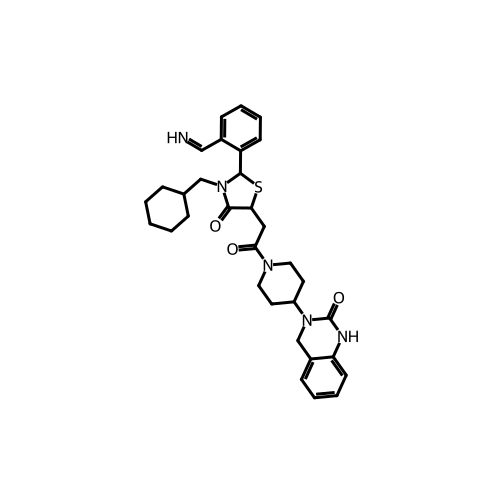 N=Cc1ccccc1C1SC(CC(=O)N2CCC(N3Cc4ccccc4NC3=O)CC2)C(=O)N1CC1CCCCC1